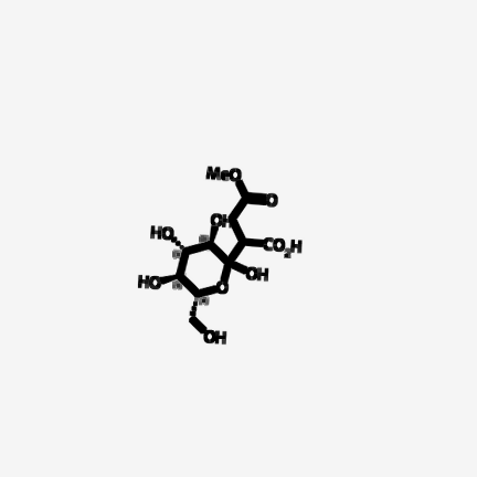 COC(=O)CC(C(=O)O)C1(O)O[C@H](CO)[C@@H](O)[C@H](O)[C@H]1O